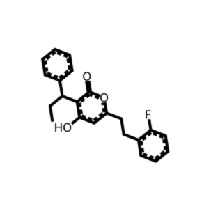 CCC(c1ccccc1)c1c(O)cc(CCc2ccccc2F)oc1=O